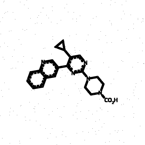 O=C(O)N1CCN(c2ncc(C3CC3)c(-c3cnc4ccccc4c3)n2)CC1